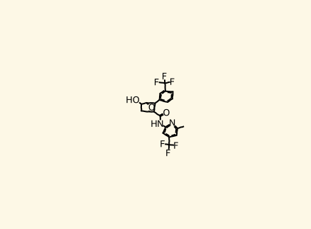 Cc1cc(C(F)(F)F)cc(NC(=O)C2C3CC(O)C(O3)C2c2cccc(C(F)(F)F)c2)n1